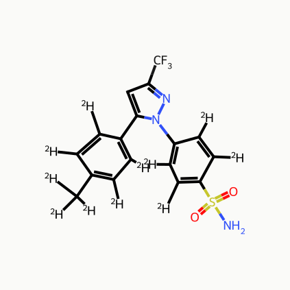 [2H]c1c([2H])c(C([2H])([2H])[2H])c([2H])c([2H])c1-c1cc(C(F)(F)F)nn1-c1c([2H])c([2H])c(S(N)(=O)=O)c([2H])c1[2H]